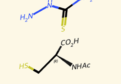 CC(=O)N[C@@H](CS)C(=O)O.NNC(N)=S